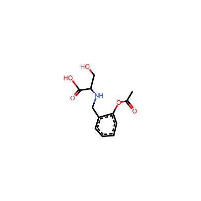 CC(=O)Oc1ccccc1CNC(CO)C(=O)O